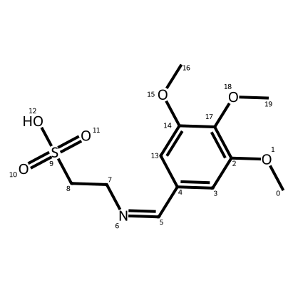 COc1cc(/C=N\CCS(=O)(=O)O)cc(OC)c1OC